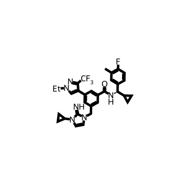 CCn1cc(-c2cc(Cn3ccn(C4CC4)c3=N)cc(C(=O)N[C@H](c3ccc(F)c(C)c3)C3CC3)c2)c(C(F)(F)F)n1